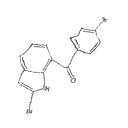 O=C(c1ccc(Br)cc1)c1cccc2cc(Br)[nH]c12